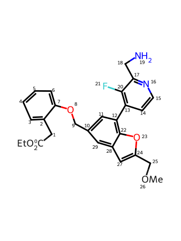 CCOC(=O)Cc1ccccc1OCc1cc(-c2ccnc(CN)c2F)c2oc(COC)cc2c1